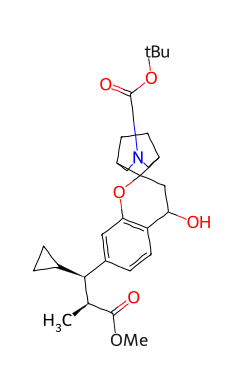 COC(=O)[C@@H](C)[C@H](c1ccc2c(c1)OC1(CC2O)C2CCC1CN(C(=O)OC(C)(C)C)C2)C1CC1